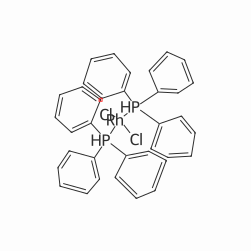 [Cl][Rh]([Cl])([PH](c1ccccc1)(c1ccccc1)c1ccccc1)[PH](c1ccccc1)(c1ccccc1)c1ccccc1